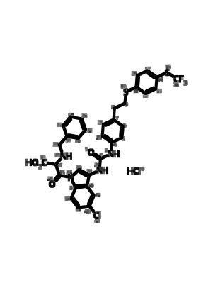 Cl.O=C(Nc1ccc(CCSc2ccc(SC(F)(F)F)cc2)cc1)Nc1cn(C(=O)C(NCc2ccccc2)C(=O)O)c2ccc(Cl)cc12